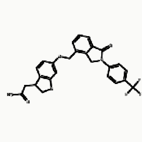 O=C(O)CC1COc2cc(OCc3cccc4c3CN(c3ccc(C(F)(F)F)cc3)C4=O)ccc21